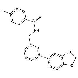 Cc1ccc([C@@H](C)NCc2cccc(-c3ccc4c(c3)OCO4)c2)cc1